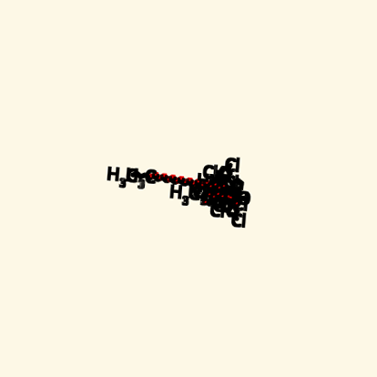 CCCCCCCCCCCC/C=C/CCC(CN(c1ccccc1N1C(=O)CCC1=O)c1[nH]n(-c2c(Cl)cc(Cl)cc2Cl)c(=O)c1C(c1ccccc1)c1c(N(CC(CC/C=C/CCCCCCCCCCCC)OC)c2ccccc2N2C(=O)CCC2=O)[nH]n(-c2c(Cl)cc(Cl)cc2Cl)c1=O)OC